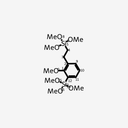 COc1c(CC[Si](OC)(OC)OC)cccc1[Si](OC)(OC)OC